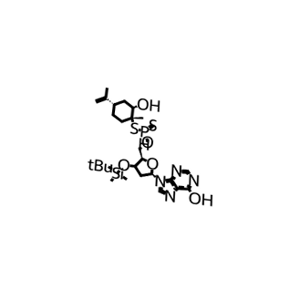 C=C(C)[C@H]1CC[C@@](C)(S[PH](=S)OC[C@H]2O[C@@H](n3cnc4c(O)ncnc43)CC2O[Si](C)(C)C(C)(C)C)[C@H](O)C1